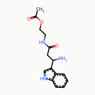 CC(=O)OCCNC(=O)CC(N)c1c[nH]c2ccccc12